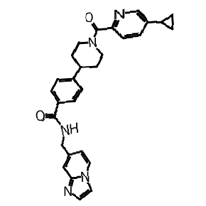 O=C(NCc1ccn2ccnc2c1)c1ccc(C2CCN(C(=O)c3ccc(C4CC4)cn3)CC2)cc1